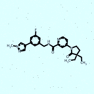 CCC1(CC)CCN(c2ccnc(C(=O)NCc3cc(F)cc(-c4cnn(C)c4)c3)c2)C1=O